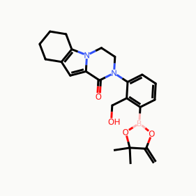 C=C1OB(c2cccc(N3CCn4c(cc5c4CCCC5)C3=O)c2CO)OC1(C)C